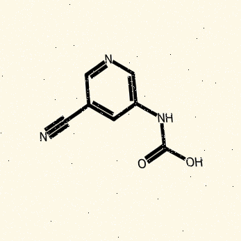 N#Cc1cncc(NC(=O)O)c1